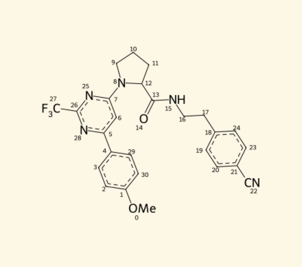 COc1ccc(-c2cc(N3CCCC3C(=O)NCCc3ccc(C#N)cc3)nc(C(F)(F)F)n2)cc1